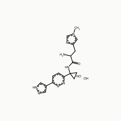 Cl.Cl.Cn1cnc(CC(N)C(=O)NC2(c3ccc(-c4cn[nH]c4)nn3)CC2)c1